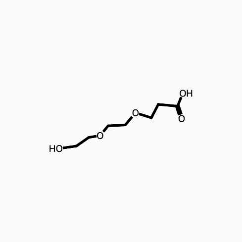 O=C(O)CCOCCOCCO